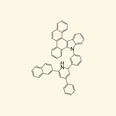 C1=C(c2ccccc2)C=C(c2ccc3ccccc3c2)NC1c1cccc(-n2c3ccccc3c3c4c5ccccc5ccc4c4ccccc4c32)c1